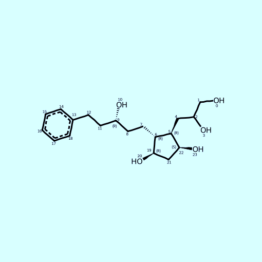 OCC(O)C[C@@H]1[C@@H](CC[C@@H](O)CCc2ccccc2)[C@H](O)C[C@@H]1O